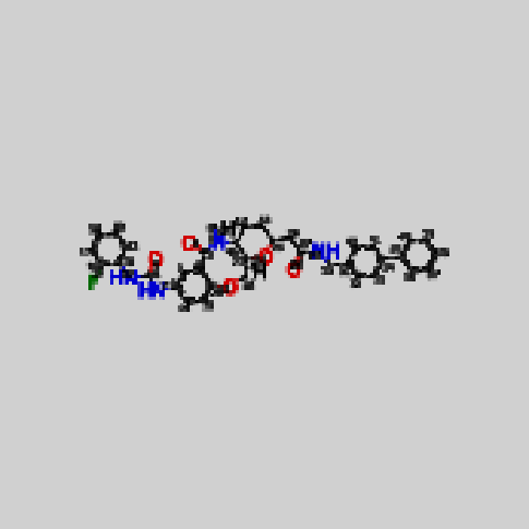 CN1C(=O)c2cc(NC(=O)Nc3ccccc3F)ccc2OC[C@@H]2O[C@H](CC(=O)NCc3ccc(-c4ccccc4)cc3)CC[C@@H]21